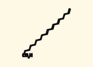 C=CCCC=CC=CC=CCCCCCCCC(=O)O